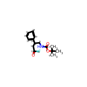 CC(C)(C)OC(=O)NCC(CC(=O)F)c1ccccc1